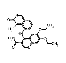 CCOc1cc2ncc(C(N)=O)c(Nc3cccc4c3=C(C)C(=O)[N]C=4)c2cc1OCC